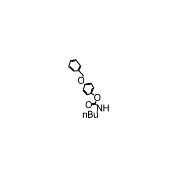 CCCCNC(=O)Oc1ccc(OCc2ccccc2)cc1